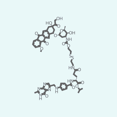 COc1cccc2c1C(=O)c1cc3c(cc1C2=O)C[C@@](O)(C(=O)CO)C[C@@H]3O[C@H]1C[C@@H](NC(=O)OCCSSCCNC(=O)CC[C@@H](NC(=O)c2ccc(NCc3cnc4nc(C)[nH]c(=O)c4n3)cc2)C(=O)OC(C)C)[C@H](O)[C@H](C)O1